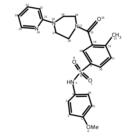 COc1ccc(NS(=O)(=O)c2ccc(C)c(C(=O)N3CCN(c4ccccn4)CC3)c2)cc1